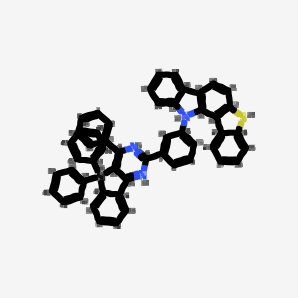 c1ccc(-c2nc(-c3cccc(-n4c5ccccc5c5ccc6sc7ccccc7c6c54)c3)nc3c2[Si](c2ccccc2)(c2ccccc2)c2ccccc2-3)cc1